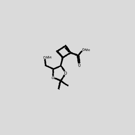 COCC1OC(C)(C)OC1C1CC=C1C(=O)OC